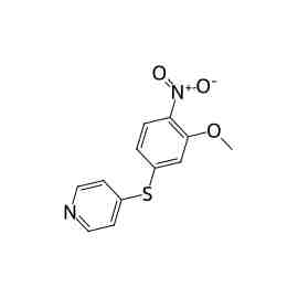 COc1cc(Sc2ccncc2)ccc1[N+](=O)[O-]